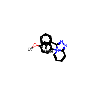 CCOc1ccc([N+]23C=CC=CC2=NN=C3c2ccccc2NC)cc1